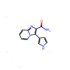 NC(=O)c1nc2ccccn2c1-c1cc[nH]c1